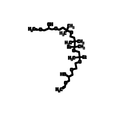 C=COCC(O)COCCOC(C)(CC)COC(C)(CC)C(C)(C)CCOC(C)(C)CCOCC(O)COC=C